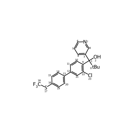 CC(C)(C)C(O)(c1cccnc1)c1ccc(-c2ccc(SC(F)(F)F)cc2)cc1Cl